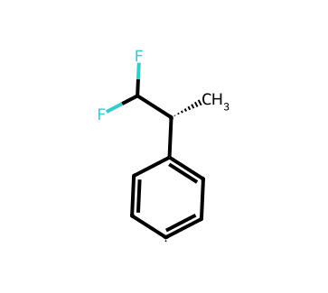 C[C@H](c1cc[c]cc1)C(F)F